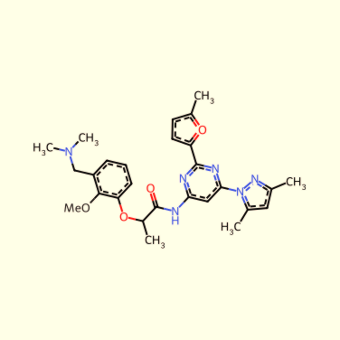 COc1c(CN(C)C)cccc1OC(C)C(=O)Nc1cc(-n2nc(C)cc2C)nc(-c2ccc(C)o2)n1